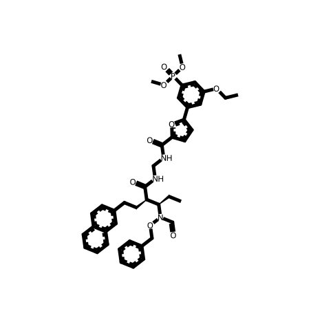 CCOc1cc(-c2ccc(C(=O)NCNC(=O)[C@H](CCc3ccc4ccccc4c3)[C@@H](CC)N(C=O)OCc3ccccc3)o2)cc(P(=O)(OC)OC)c1